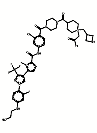 Cn1c(-c2cn(-c3ccc(NCCO)cc3F)nc2C(F)(F)F)cnc1C(=O)Nc1ccc(C(=O)N2CCN(C(=O)C3CC[N+](CC(=O)O)(CC4CNC4)CC3)CC2)c(Cl)c1